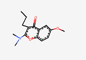 CCCc1c(N(C)C)oc2ccc(OC)cc2c1=O